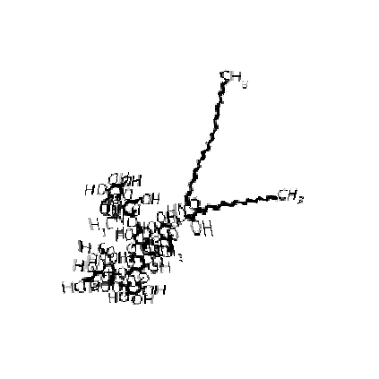 CCCCCCCCCCCCC/C=C/[C@@H](O)[C@H](CO[C@@H]1OC(CO)[C@@H](O[C@@H]2OC(CO[C@@H]3OC(CO)[C@@H](O[C@@H]4OC(CO)[C@H](O)[C@H](O)C4O)[C@H](O)C3NC(C)=O)[C@H](O)[C@H](O[C@@H]3OC(CO)[C@@H](O[C@@H]4OC(CO[C@]5(C(=O)O)CC(O)[C@@H](NC(C)=O)C([C@H](O)[C@H](O)CO)O5)[C@H](O)[C@H](O)C4O)[C@H](O)C3NC(C)=O)C2O)[C@H](O)C1O)NC(=O)CCCCCCCCCCCCCCCCCCCCCCC